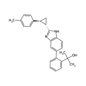 Cc1ccc([C@H]2C[C@@H]2c2nc3cc(-c4ccccc4C(C)(C)O)ccc3[nH]2)cc1